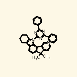 CC1(C)c2ccncc2-c2c1ccc1c3c(n(-c4nc(-c5ccccc5)nc(-c5ccccc5)n4)c21)CCCC3